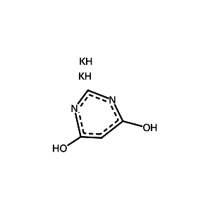 Oc1cc(O)ncn1.[KH].[KH]